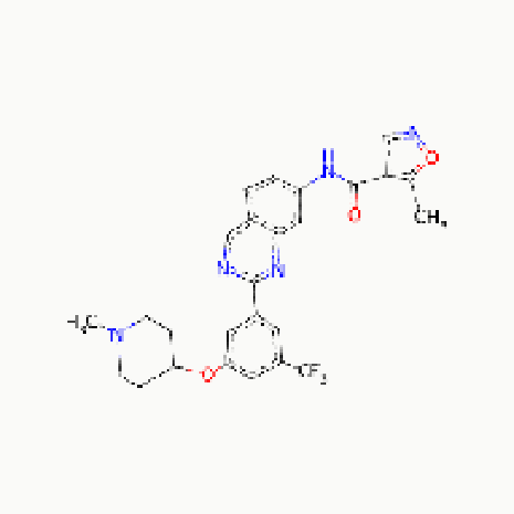 Cc1oncc1C(=O)Nc1ccc2cnc(-c3cc(OC4CCN(C)CC4)cc(C(F)(F)F)c3)nc2c1